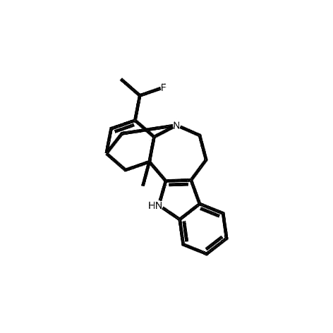 CC(F)C1=CC2CN3CCc4c([nH]c5ccccc45)C(C)(C2)C13